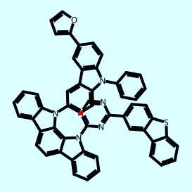 c1ccc(-n2c3ccc(-c4ccco4)cc3c3cc(-n4c5ccccc5c5ccc6c7ccccc7n(-c7ncnc(-c8ccc9sc%10ccccc%10c9c8)n7)c6c54)ccc32)cc1